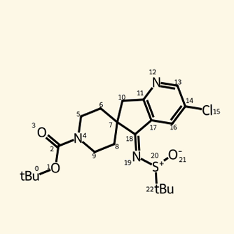 CC(C)(C)OC(=O)N1CCC2(CC1)Cc1ncc(Cl)cc1C2=N[S+]([O-])C(C)(C)C